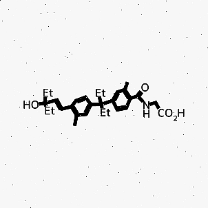 CCC(O)(/C=C/c1ccc(C(CC)(CC)c2ccc(C(=O)NCC(=O)O)c(C)c2)cc1C)CC